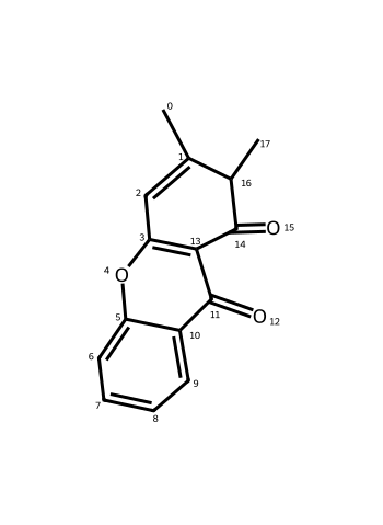 CC1=Cc2oc3ccccc3c(=O)c2C(=O)C1C